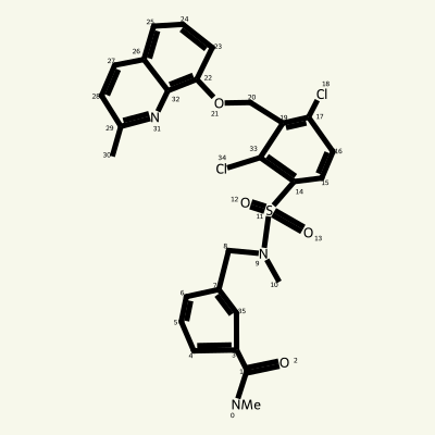 CNC(=O)c1cccc(CN(C)S(=O)(=O)c2ccc(Cl)c(COc3cccc4ccc(C)nc34)c2Cl)c1